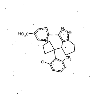 O=C(O)c1ccc(-c2n[nH]c3c2C(C2(c4c(Cl)ccnc4C(F)(F)F)CCC2)CCC3)nc1